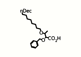 CCCCCCCCCCCCCCCCCCOC(C)C(OCc1ccccc1)C(=O)O